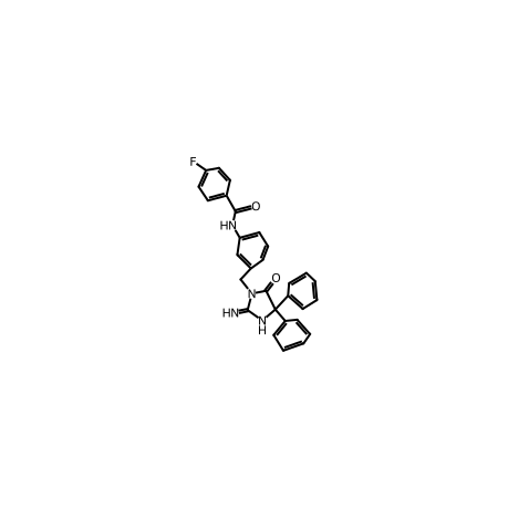 N=C1NC(c2ccccc2)(c2ccccc2)C(=O)N1Cc1cccc(NC(=O)c2ccc(F)cc2)c1